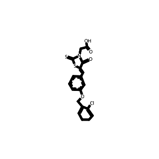 O=C(O)CN1C(=O)/C(=C/c2cccc(OCC3=CCCC=C3Cl)c2)SC1=S